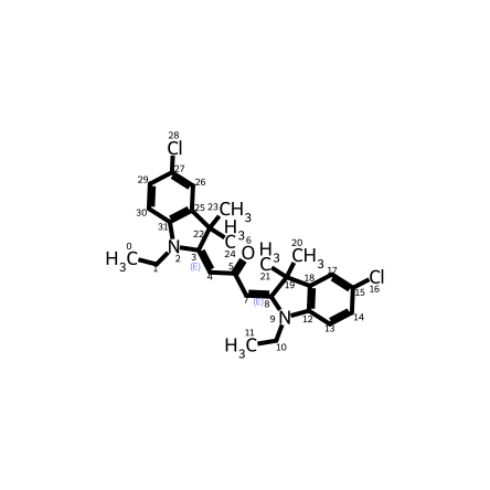 CCN1/C(=C/C(=O)/C=C2/N(CC)c3ccc(Cl)cc3C2(C)C)C(C)(C)c2cc(Cl)ccc21